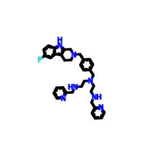 Fc1ccc2[nH]c3c(c2c1)CCN(Cc1ccc(CN(CCNCc2ccccn2)CCNCc2ccccn2)cc1)C3